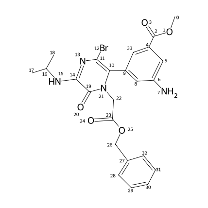 COC(=O)c1cc(N)cc(-c2c(Br)nc(NC(C)C)c(=O)n2CC(=O)OCc2ccccc2)c1